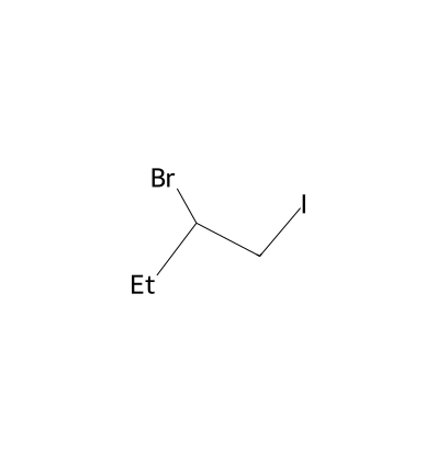 CCC(Br)CI